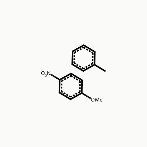 COc1ccc([N+](=O)[O-])cc1.Cc1ccccc1